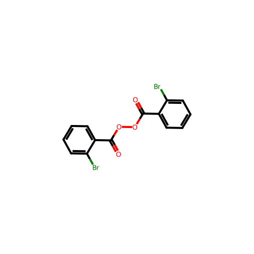 O=C(OOC(=O)c1ccccc1Br)c1ccccc1Br